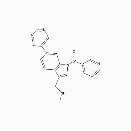 CNCc1cn([S+]([O-])c2cccnc2)c2cc(-c3cncnc3)ccc12